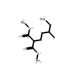 CC(CC=O)CCC(C(=O)ON)C(=O)OC(C)(C)C